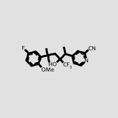 COc1ccc(F)cc1C(C)(C)CC(O)(C(C)c1ccnc(C#N)c1)C(F)(F)F